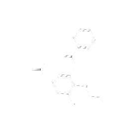 CC(=O)O.CCCNc1c(O)cccc1OC(=O)c1ccccc1